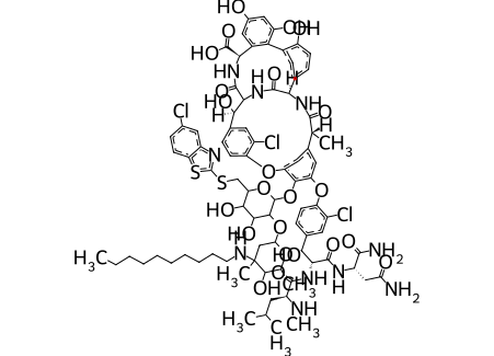 CCCCCCCCCCNC1(C)CC(OC2C(Oc3c4cc(cc3Oc3ccc([C@@H](O)[C@@H](NC(=O)[C@H](CC(C)C)NC)C(=O)N[C@@H](CC(N)=O)C(N)=O)cc3Cl)[C@@H](C)C(=O)N[C@H]3C(=O)NC(C(=O)N[C@@H](C(=O)O)c5cc(O)cc(O)c5-c5cc3ccc5O)[C@H](O)c3ccc(c(Cl)c3)O4)OC(CSc3nc4cc(Cl)ccc4s3)C(O)C2O)OC(C)C1O